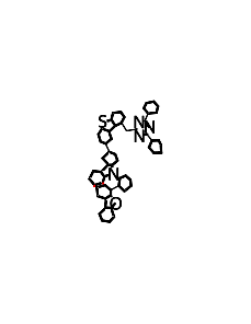 c1ccc(-c2nc(Cc3cccc4sc5ccc(-c6ccc7c(c6)c6ccccc6n7-c6ccccc6-c6cccc7c6oc6ccccc67)cc5c34)nc(-c3ccccc3)n2)cc1